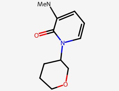 CNc1cccn(C2CCCOC2)c1=O